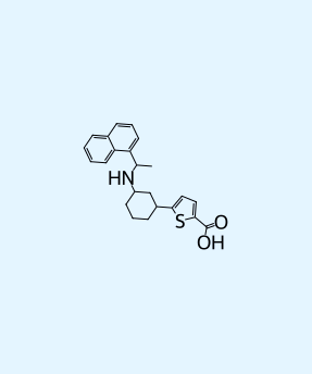 CC(NC1CCCC(c2ccc(C(=O)O)s2)C1)c1cccc2ccccc12